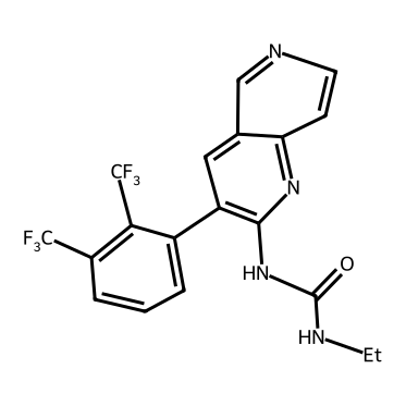 CCNC(=O)Nc1nc2ccncc2cc1-c1cccc(C(F)(F)F)c1C(F)(F)F